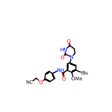 COc1c(C(=O)Nc2ccc(OCC#N)cc2)cc(N2CCC(=O)NC2=O)cc1C(C)(C)C